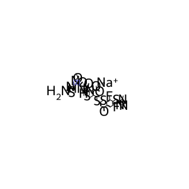 CO/N=C(\C(=O)N[C@@H]1C(=O)N2C(C(=O)[O-])=C(CSc3cc(=O)c4cc(F)c(Sc5nncn5C)c(F)c4s3)CS[C@H]12)c1csc(N)n1.[Na+]